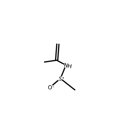 C=C(C)N[S+](C)[O-]